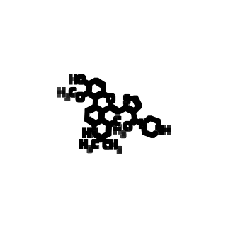 COc1c(O)ccc2c1-c1ccc3c(c1/C(=C/c1sccc1C(=O)N1CCNCC1)O2)C(C)=CC(C)(C)N3